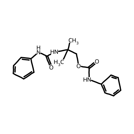 CC(C)(COC(=O)Nc1ccccc1)NC(=O)Nc1ccccc1